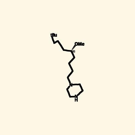 CO[C@H](CCCCN1CCNCC1)CCCC(C)(C)C